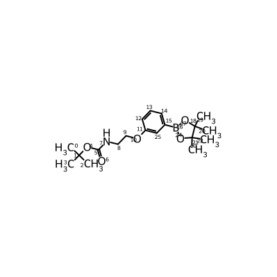 CC(C)(C)OC(=O)NCCOc1cccc(B2OC(C)(C)C(C)(C)O2)c1